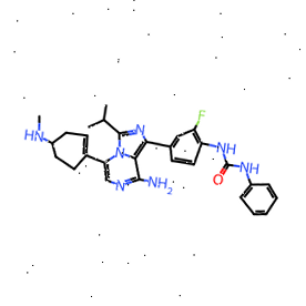 CNC1CC=C(c2cnc(N)c3c(-c4ccc(NC(=O)Nc5ccccc5)c(F)c4)nc(C(C)C)n23)CC1